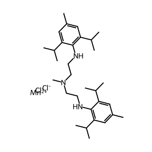 Cc1cc(C(C)C)c(NCCN(C)CCNc2c(C(C)C)cc(C)cc2C(C)C)c(C(C)C)c1.[Cl-].[Cl-].[Mn+2]